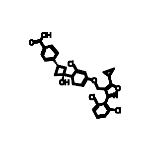 O=C(O)c1ccc([C@H]2C[C@](O)(C3CC=C(OCc4c(-c5c(Cl)cccc5Cl)noc4C4CC4)C=C3Cl)C2)cc1